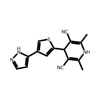 CC1=C(C#N)C(c2cc(-c3ccn[nH]3)cs2)C(C#N)=C(C)N1